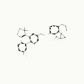 Cc1ccc(F)c(-c2ccc(COc3ccc4c(c3)[C@@]3(CCC4)C[C@@]3(C)C(=O)O)cc2C2=CCCC2(C)C)c1